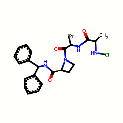 CC(NCl)C(=O)NC(C(=O)N1CC[C@H]1C(=O)NC(c1ccccc1)c1ccccc1)C(C)C